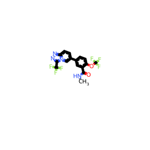 CNC(=O)c1cc(-c2ccc3nnc(C(F)(F)F)n3c2)ccc1OC(F)(F)F